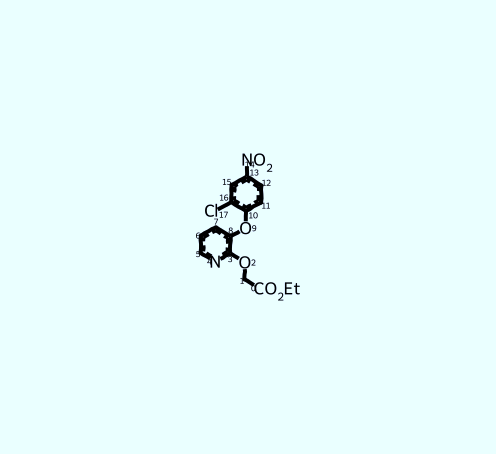 CCOC(=O)COc1ncccc1Oc1ccc([N+](=O)[O-])cc1Cl